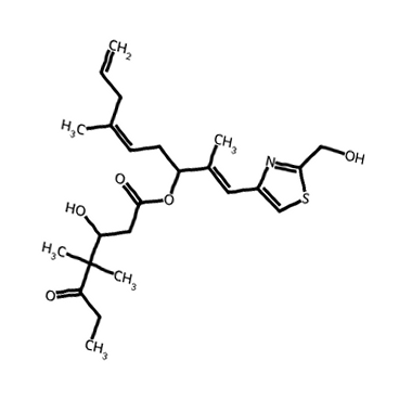 C=CC/C(C)=C\CC(OC(=O)CC(O)C(C)(C)C(=O)CC)/C(C)=C/c1csc(CO)n1